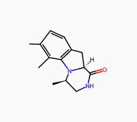 Cc1ccc2c(c1C)N1[C@H](C)CNC(=O)[C@@H]1C2